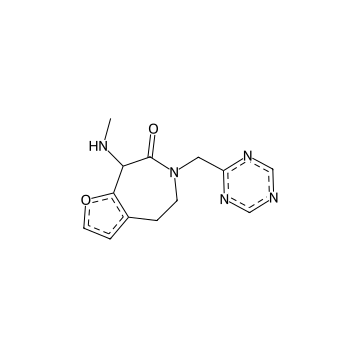 CNC1C(=O)N(Cc2ncncn2)CCc2ccoc21